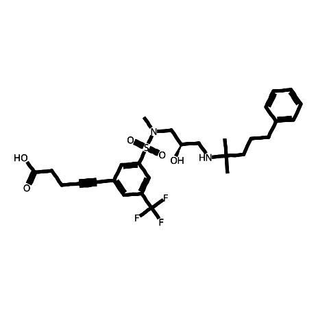 CN(C[C@H](O)CNC(C)(C)CCCc1ccccc1)S(=O)(=O)c1cc(C#CCCC(=O)O)cc(C(F)(F)F)c1